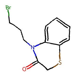 O=C1CSc2ccccc2N1CCCBr